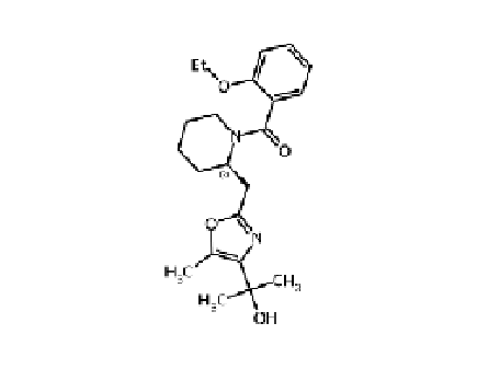 CCOc1ccccc1C(=O)N1CCCC[C@@H]1Cc1nc(C(C)(C)O)c(C)o1